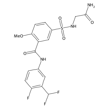 COc1ccc(S(=O)(=O)NCC(N)=O)cc1C(=O)Nc1ccc(F)c(C(F)F)c1